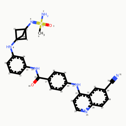 CS(N)(=O)=NC12CC(Nc3cccc(NC(=O)c4ccc(Nc5ccnc6ccc(C#N)cc56)cc4)c3)(C1)C2